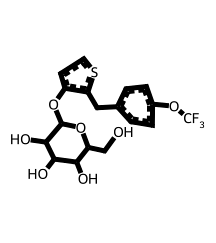 OCC1OC(Oc2ccsc2Cc2ccc(OC(F)(F)F)cc2)C(O)C(O)C1O